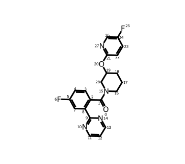 O=C(c1ccc(F)cc1-c1ncccn1)N1CCCC(Oc2ccc(F)cn2)C1